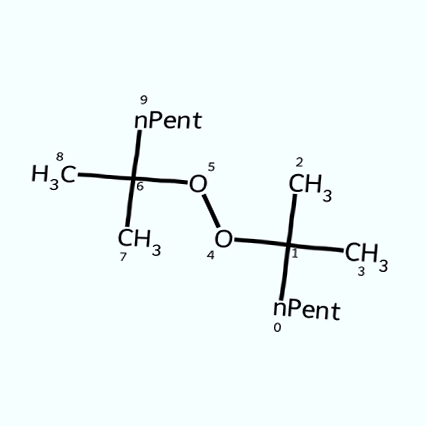 CCCCCC(C)(C)OOC(C)(C)CCCCC